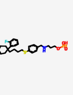 O=[PH](O)OCCCNCc1ccc(SCCCCC2(c3ccccc3F)CCCCC2)cc1